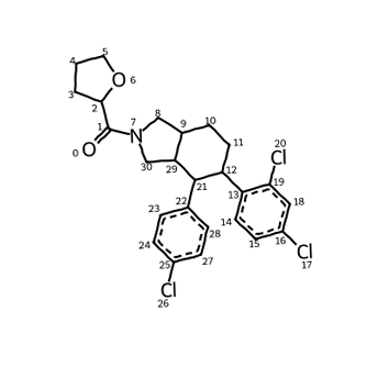 O=C(C1CCCO1)N1CC2CCC(c3ccc(Cl)cc3Cl)C(c3ccc(Cl)cc3)C2C1